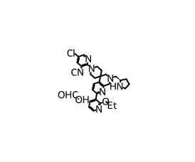 CCOc1ncccc1-c1ccc2c(n1)CN(C[C@H]1CCCN1)CC21CCN(c2ncc(Cl)cc2C#N)CC1.O=CO